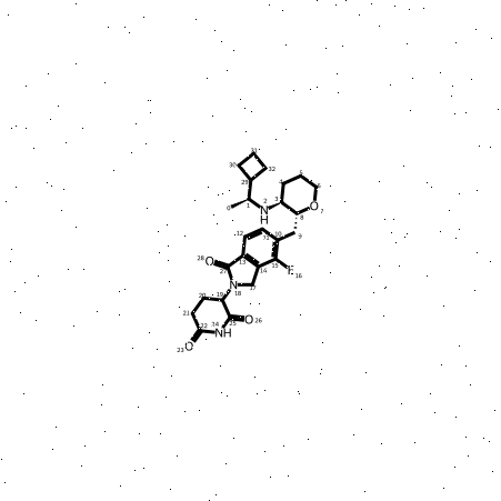 C[C@H](N[C@H]1CCCO[C@@H]1Cc1ccc2c(c1F)CN(C1CCC(=O)NC1=O)C2=O)C1CCC1